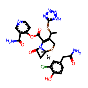 CC(Sc1nnn[nH]1)C1=C(C(=O)Oc2ccncc2C(N)=O)N2C(=O)C[C@@H]2SC1.NC(=O)Cc1ccc(O)c(Cl)c1